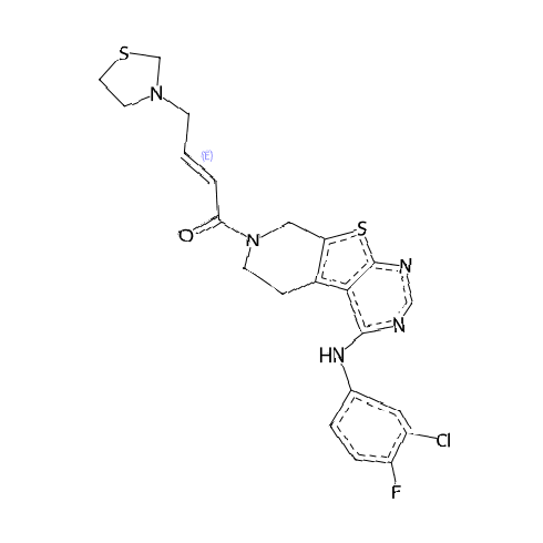 O=C(/C=C/CN1CCSC1)N1CCc2c(sc3ncnc(Nc4ccc(F)c(Cl)c4)c23)C1